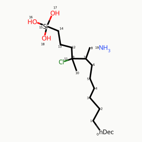 CCCCCCCCCCCCCCCCC(C)C(C)(Cl)CCC[Si](O)(O)O.N